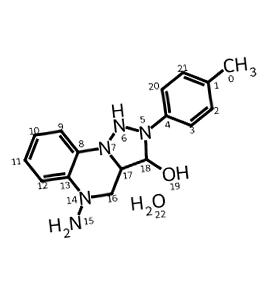 Cc1ccc(N2NN3c4ccccc4N(N)CC3C2O)cc1.O